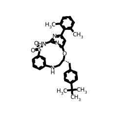 Cc1cccc(C)c1-c1cc2nc(n1)NS(=O)(=O)c1cccc(c1)NC[C@@H](Cc1ccc(C(C)(C)C)cc1)O2